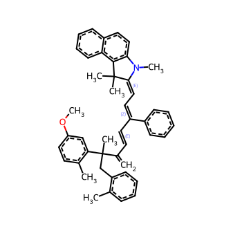 C=C(/C=C/C(=C/C=C1/N(C)c2ccc3ccccc3c2C1(C)C)c1ccccc1)C(C)(Cc1ccccc1C)c1cc(OC)ccc1C